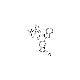 CC(C)(C)OC(=O)n1c(-c2ccc3ncc(C=O)n3c2)cc2ccccc21